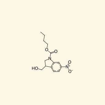 CCCCOC(=O)N1CC(CO)c2ccc([N+](=O)[O-])cc21